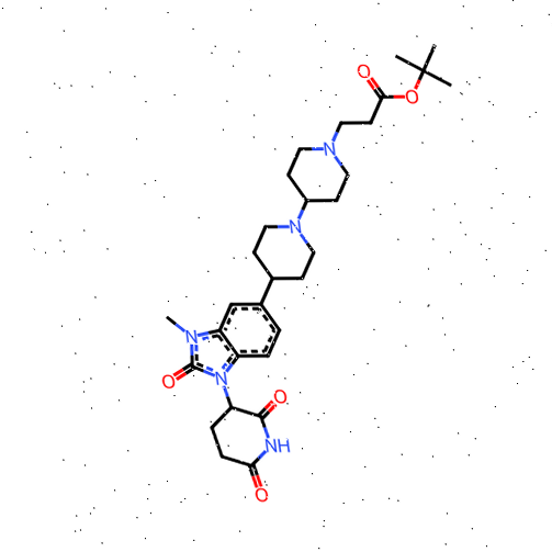 Cn1c(=O)n(C2CCC(=O)NC2=O)c2ccc(C3CCN(C4CCN(CCC(=O)OC(C)(C)C)CC4)CC3)cc21